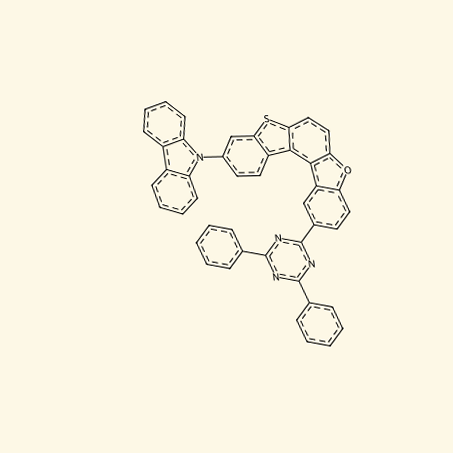 c1ccc(-c2nc(-c3ccccc3)nc(-c3ccc4oc5ccc6sc7cc(-n8c9ccccc9c9ccccc98)ccc7c6c5c4c3)n2)cc1